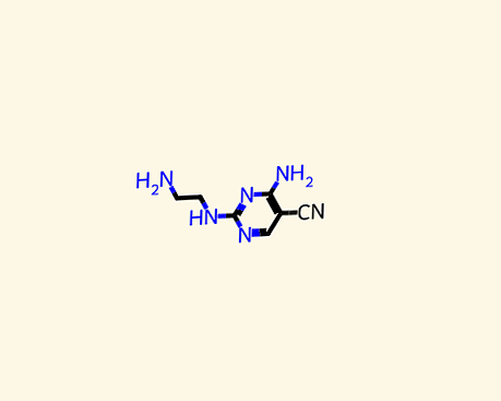 N#Cc1cnc(NCCN)nc1N